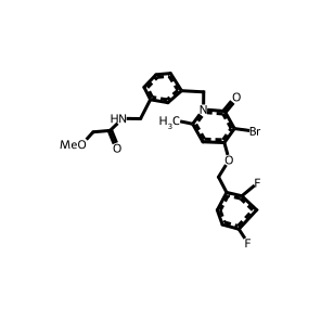 COCC(=O)NCc1cccc(Cn2c(C)cc(OCc3ccc(F)cc3F)c(Br)c2=O)c1